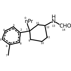 CCCC1(c2cccc(C)c2)CCCC(NC=O)C1